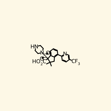 CC1(C)Cc2c(-c3ccc(C(F)(F)F)cn3)cccc2C1(C(=O)O)S(=O)(=O)N1CCNCC1